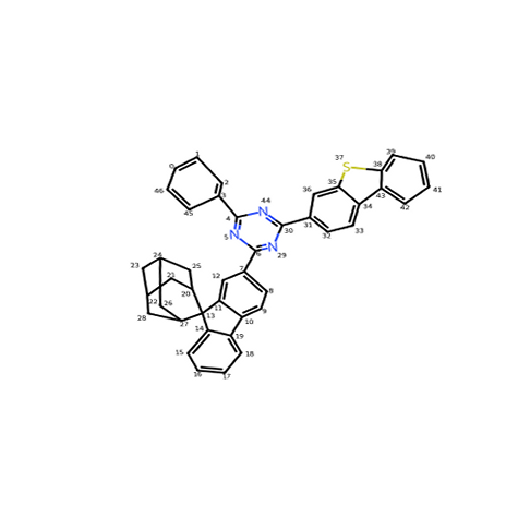 c1ccc(-c2nc(-c3ccc4c(c3)C3(c5ccccc5-4)C4CC5CC(C4)CC3C5)nc(-c3ccc4c(c3)sc3ccccc34)n2)cc1